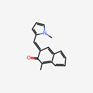 CC1=c2ccccc2=CC(=Cc2cccn2C)C1=O